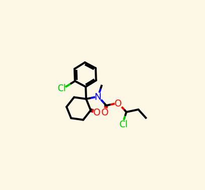 CCC(Cl)OC(=O)N(C)C1(c2ccccc2Cl)CCCCC1=O